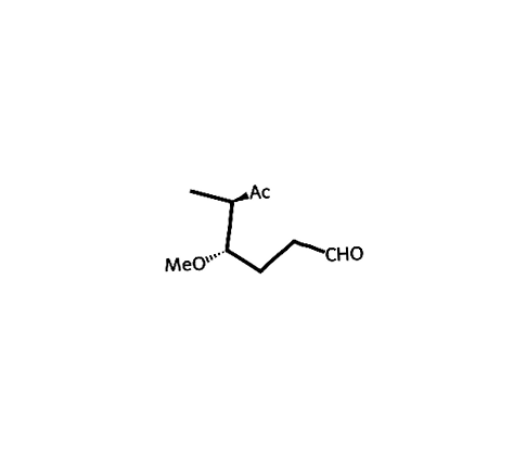 CO[C@@H](CCC=O)[C@@H](C)C(C)=O